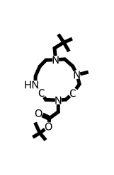 CN1CCCN(CC(=O)OC(C)(C)C)CCNCCCN(CC(C)(C)C)CC1